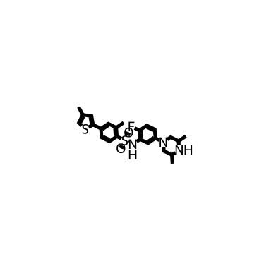 Cc1csc(-c2ccc(S(=O)(=O)Nc3cc(N4CC(C)NC(C)C4)ccc3F)c(C)c2)c1